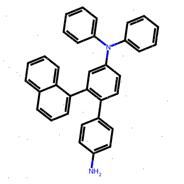 Nc1ccc(-c2ccc(N(c3ccccc3)c3ccccc3)cc2-c2cccc3ccccc23)cc1